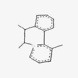 Cc1ccc[n+]2c1-c1ccccc1C(C)C2C